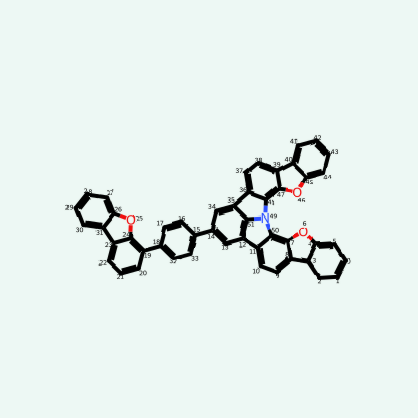 C1=CCC2C(=C1)Oc1c2ccc2c3cc(-c4ccc(-c5cccc6c5oc5ccccc56)cc4)cc4c5ccc6c7ccccc7oc6c5n(c12)c34